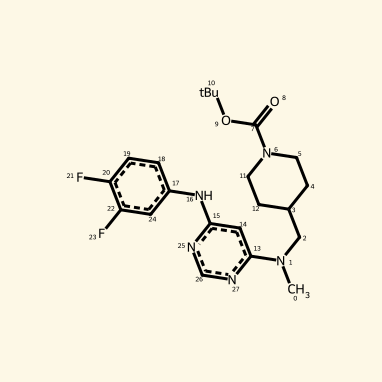 CN(CC1CCN(C(=O)OC(C)(C)C)CC1)c1cc(Nc2ccc(F)c(F)c2)ncn1